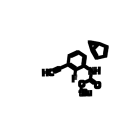 C#Cc1cccc(NC(=O)OC(C)(C)C)c1F.c1cc2cc-2c1